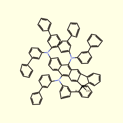 CC1(C)c2ccccc2-c2cc3c(N(c4cccc(-c5ccccc5)c4)c4cccc(-c5ccccc5)c4)c4cc(N(c5cccc(-c6ccccc6)c5)c5cccc(-c6ccccc6)c5)ccc4c(N(c4cccc(-c5ccccc5)c4)c4cccc(-c5ccccc5)c4)c3cc21